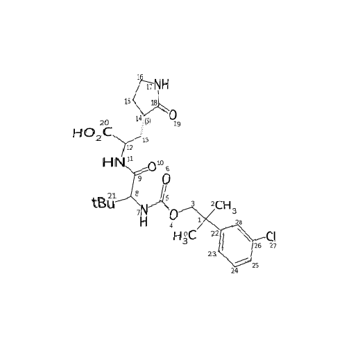 CC(C)(COC(=O)NC(C(=O)NC(C[C@@H]1CCNC1=O)C(=O)O)C(C)(C)C)c1cccc(Cl)c1